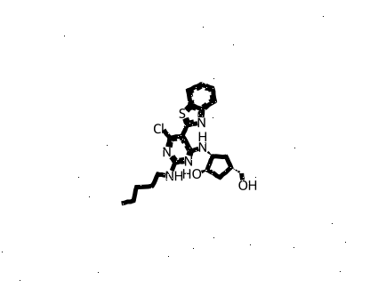 CCCCCNc1nc(Cl)c(-c2nc3ccccc3s2)c(N[C@@H]2C[C@H](CO)C[C@H]2O)n1